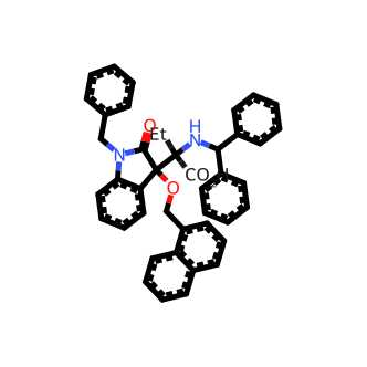 CCC(NC(c1ccccc1)c1ccccc1)(C(=O)O)C1(OCc2cccc3ccccc23)C(=O)N(Cc2ccccc2)c2ccccc21